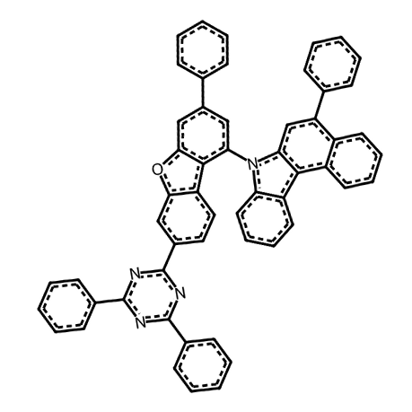 c1ccc(-c2cc(-n3c4ccccc4c4c5ccccc5c(-c5ccccc5)cc43)c3c(c2)oc2cc(-c4nc(-c5ccccc5)nc(-c5ccccc5)n4)ccc23)cc1